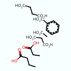 CC(=O)O.CCC(=O)O.CCCC(=O)O.O=C(O)CC(=O)O.O=C(O)CCC(=O)O.O=C(O)c1ccccc1